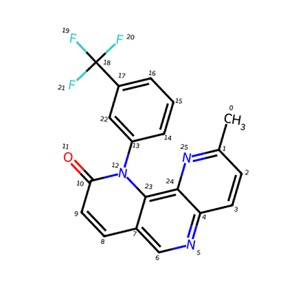 Cc1ccc2ncc3ccc(=O)n(-c4cccc(C(F)(F)F)c4)c3c2n1